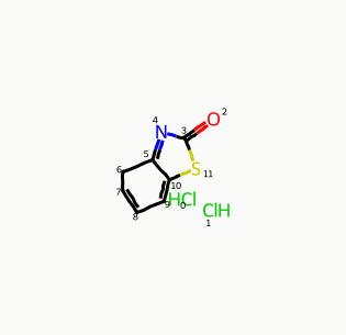 Cl.Cl.O=C1N=C2CC=CC=C2S1